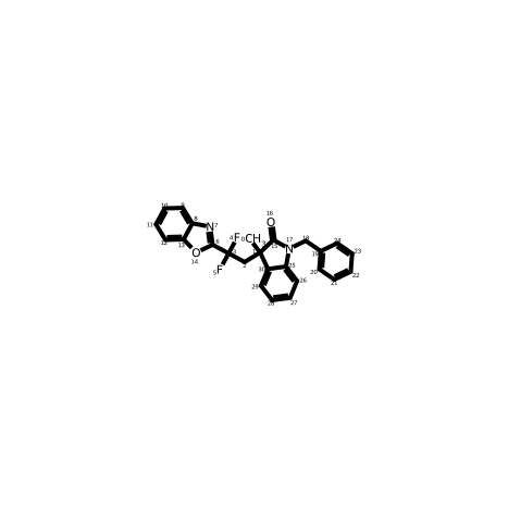 CC1(CC(F)(F)c2nc3ccccc3o2)C(=O)N(Cc2ccccc2)c2ccccc21